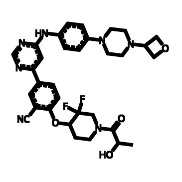 CC(O)C(=O)N1CCC(Oc2ccc(-c3cc(Nc4ccc(N5CCN(C6COC6)CC5)cc4)ncn3)cc2C#N)C(F)(F)C1